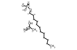 CCCCCCCCCCCCOP(=O)([O-])[O-].CCO.[Na+].[Na+]